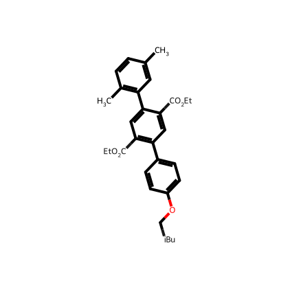 CCOC(=O)c1cc(-c2cc(C)ccc2C)c(C(=O)OCC)cc1-c1ccc(OCC(C)CC)cc1